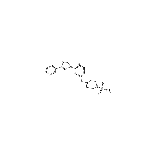 CS(=O)(=O)N1CCN(Cc2ccnc(N3C=C(c4ccncc4)SC3)c2)CC1